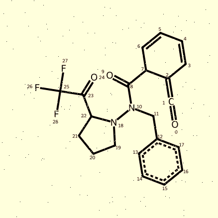 O=C=C1C=CC=CC1C(=O)N(Cc1ccccc1)N1CCCC1C(=O)C(F)(F)F